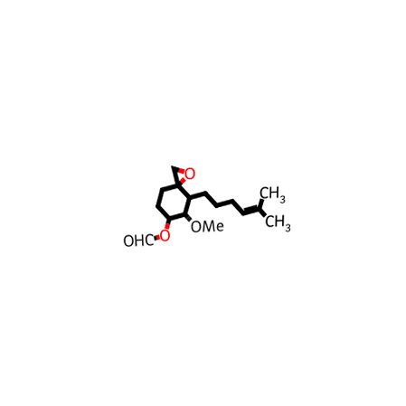 COC1C(OC=O)CCC2(CO2)C1CCCC=C(C)C